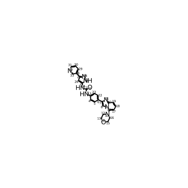 O=C(Nc1ccc(-c2cn3c(N4CCOCC4)cccc3n2)cc1)Nc1cc(-c2cccnc2)n[nH]1